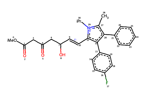 COC(=O)CC(=O)CC(O)/C=C/c1c(-c2ccc(F)cc2)c(-c2ccccc2)c(C)n1C(C)C